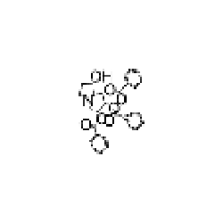 O=C(OC1CN2CCC(O)C2C(OC(=O)c2ccccc2)C1OC(=O)c1ccccc1)c1ccccc1